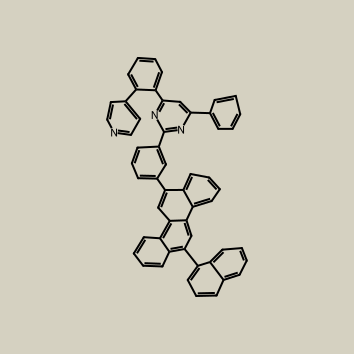 c1ccc(-c2cc(-c3ccccc3-c3ccncc3)nc(-c3cccc(-c4cc5c6ccccc6c(-c6cccc7ccccc67)cc5c5ccccc45)c3)n2)cc1